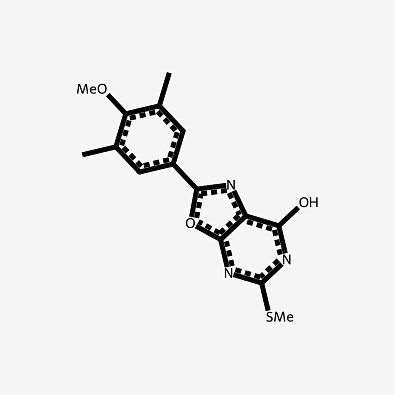 COc1c(C)cc(-c2nc3c(O)nc(SC)nc3o2)cc1C